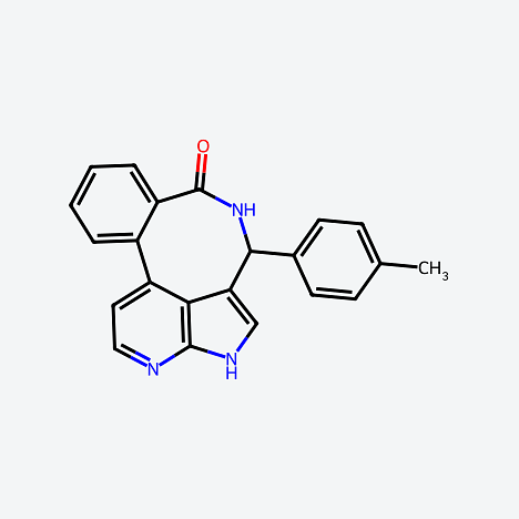 Cc1ccc(C2NC(=O)c3ccccc3-c3ccnc4[nH]cc2c34)cc1